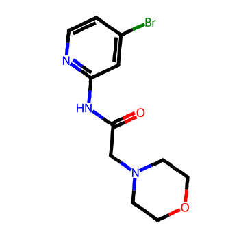 O=C(CN1CCOCC1)Nc1cc(Br)ccn1